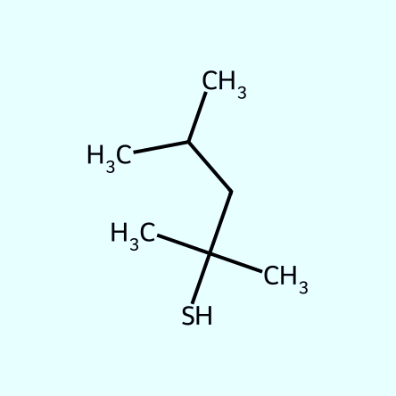 CC(C)CC(C)(C)S